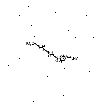 CC(=O)NCCCC1(C)OCC(C)(C)[C@H](C(=O)NCCC(=O)NCCSC(=O)CC(=O)CCC(=O)O)O1